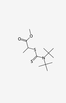 COC(=O)C(C)SC(=S)N(C(C)(C)C)C(C)(C)C